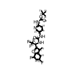 Cc1c(C(NC(=O)Nc2ccc(NC(=O)OC(C)(C)C)nc2)C(F)(F)F)oc2c(F)cc(F)cc12